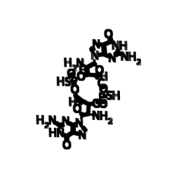 Nc1nc2c(ncn2[C@@H]2O[C@@H]3COP(=O)(S)OC4[C@@H](COP(=O)(S)O[C@@H]3[C@@H]2N)O[C@@H](n2cnc3c(=O)[nH]c(N)nc32)[C@H]4N)c(=O)[nH]1